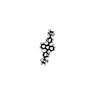 c1ccc2c(-c3ccc(-c4ncco4)cn3)c3ccccc3c(-c3ccc(-c4ncco4)cn3)c2c1